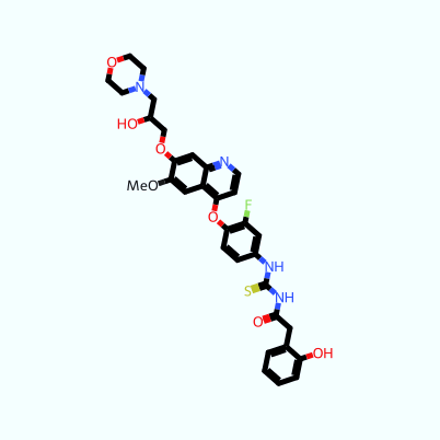 COc1cc2c(Oc3ccc(NC(=S)NC(=O)Cc4ccccc4O)cc3F)ccnc2cc1OCC(O)CN1CCOCC1